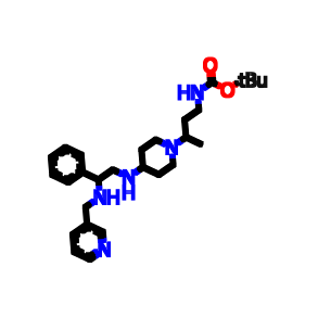 CC(CCNC(=O)OC(C)(C)C)N1CCC(NCC(NCc2cccnc2)c2ccccc2)CC1